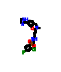 CN(Cc1ccc(C2=NCCN2)cc1)C(=O)C=CCNCS(=O)(=O)c1ccc(F)cc1Cl